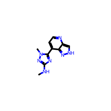 CNc1nc(-c2ccnc3c[nH]nc23)n(C)n1